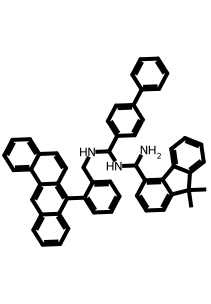 CC1(C)c2ccccc2-c2c(C(N)NC(NCc3ccccc3-c3c4ccccc4cc4c3ccc3ccccc34)c3ccc(-c4ccccc4)cc3)cccc21